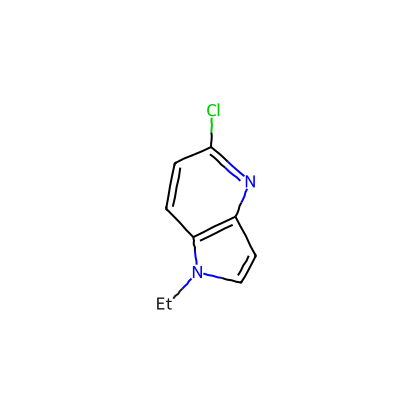 CCn1ccc2nc(Cl)ccc21